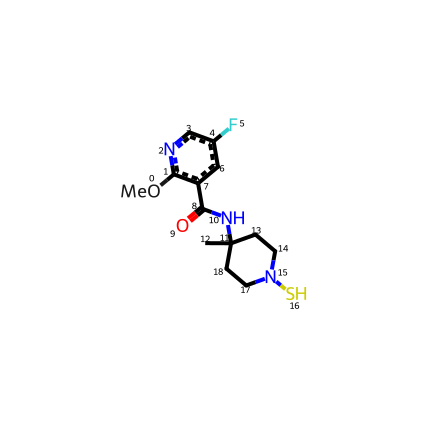 COc1ncc(F)cc1C(=O)NC1(C)CCN(S)CC1